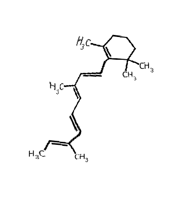 CC=C(C)C=CC=C(C)C=CC1=C(C)CCCC1(C)C